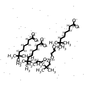 C=CC[O][Zr+3]([CH2]C(C)(C)C)[O]CC=C.CC(C)(C)CCCCCC(=O)[O-].CC(C)(C)CCCCCC(=O)[O-].CC(C)(C)CCCCCC(=O)[O-]